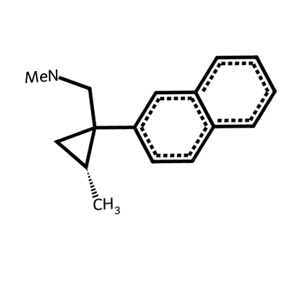 CNCC1(c2ccc3ccccc3c2)C[C@H]1C